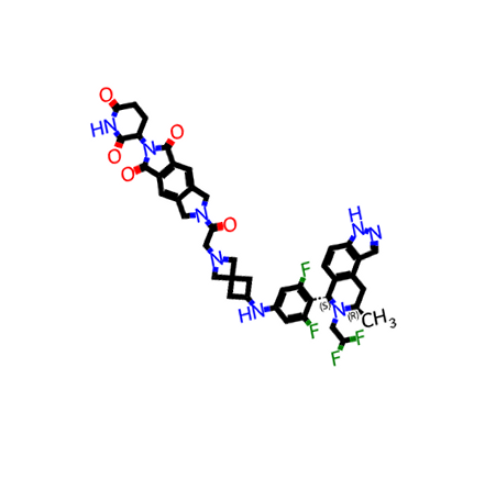 C[C@@H]1Cc2c(ccc3[nH]ncc23)[C@@H](c2c(F)cc(NC3CC4(C3)CN(CC(=O)N3Cc5cc6c(cc5C3)C(=O)N(C3CCC(=O)NC3=O)C6=O)C4)cc2F)N1CC(F)F